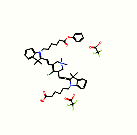 CC1(C)C(=C=CC2C[N+](C)(C)CC(/C=C/C3=[N+](CCCCCC(=O)Oc4ccccc4)c4ccccc4C3(C)C)=C2Cl)N(CCCCCC(=O)O)c2ccccc21.O=C([O-])C(F)(F)F.O=C([O-])C(F)(F)F